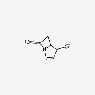 O=C1CC2C(Cl)C=CN12